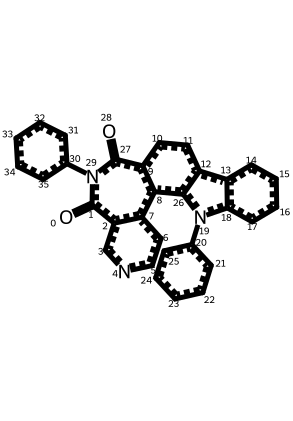 O=c1c2cnccc2c2c(ccc3c4ccccc4n(-c4ccccc4)c32)c(=O)n1-c1ccccc1